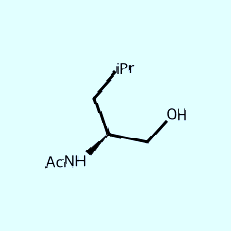 CC(=O)N[C@H](CO)CC(C)C